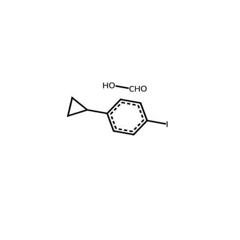 Ic1ccc(C2CC2)cc1.O=CO